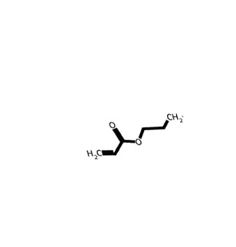 [CH2]CCOC(=O)C=C